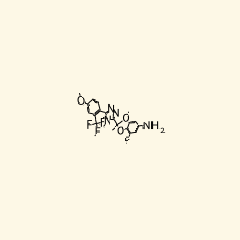 COc1ccc(-c2nnc(C(C)(C)Oc3c(F)cc(N)cc3OC)n2C)c(C(F)(F)F)c1